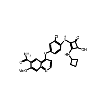 COc1cc2nccc(Oc3ccc(NC4=C(NC5CCC5)C(O)C4=O)c(Cl)c3)c2cc1C(N)=O